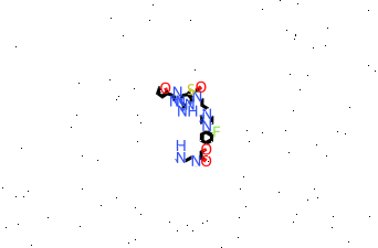 CNCCN(C)C(=O)COc1ccc(N2CCN(CCCn3c(=O)sc4c3nc(N)n3nc(-c5ccco5)nc43)CC2)c(F)c1